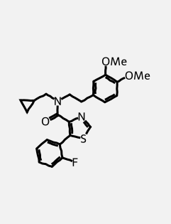 COc1ccc(CCN(CC2CC2)C(=O)c2ncsc2-c2ccccc2F)cc1OC